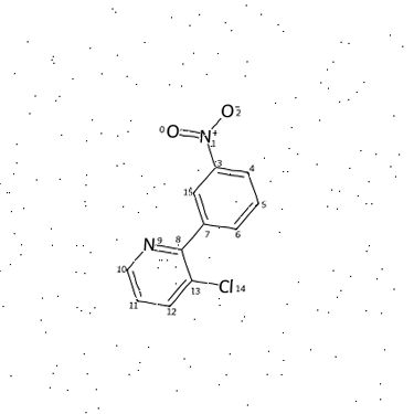 O=[N+]([O-])c1cccc(-c2ncccc2Cl)c1